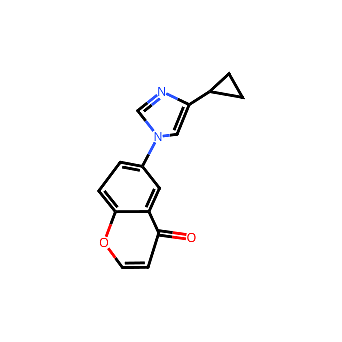 O=c1ccoc2ccc(-n3cnc(C4CC4)c3)cc12